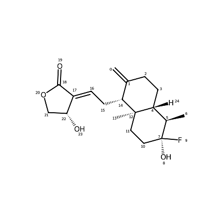 C=C1CC[C@@H]2[C@@H](C)[C@@](O)(F)CC[C@@]2(C)[C@@H]1C/C=C1/C(=O)OC[C@H]1O